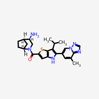 Cc1cc(-c2[nH]c3cc(C(=O)N4C[C@H](N)[C@@H]5CC[C@@H]4C5)sc3c2C(C)C)cn2ncnc12